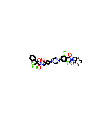 CN(C)C(=O)c1c(F)cc(N2CCN(C3CC4(C3)CN(C(=O)[C@@](O)(c3ccccc3)C(F)(F)F)C4)CC2)cc1F